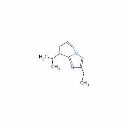 CCc1cn2cccc(C(C)C)c2n1